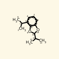 CC(C)c1cccc2c1OC(C(C)C)O2